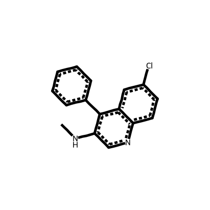 CNc1cnc2ccc(Cl)cc2c1-c1ccccc1